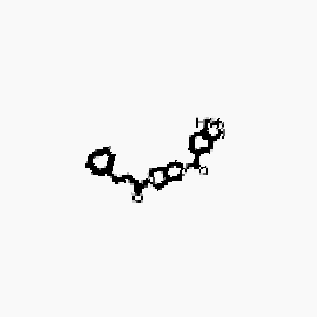 O=C(CCc1ccccc1)N1CC2CN(C(=O)c3ccc4[nH]nnc4c3)CC2C1